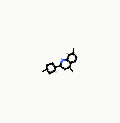 Cc1ccc(-c2cc(C)c3ccc(C)cc3n2)cc1